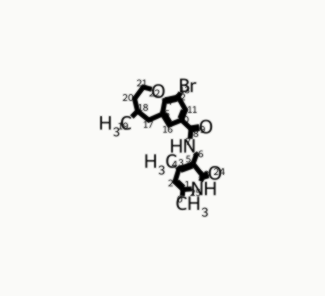 Cc1cc(C)c(CNC(=O)c2cc(Br)c3c(c2)CC(C)CCO3)c(=O)[nH]1